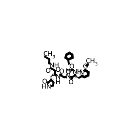 CCCCNC(=O)C(=O)[C@H](C[C@@H]1CCNC1=O)NC(=O)CNC(=O)[C@H](Cc1cccc(OCC)n1)NC(=O)OCc1ccccc1